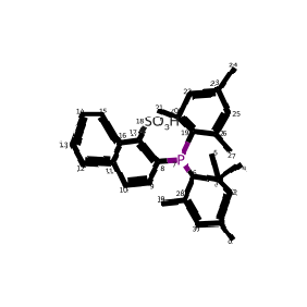 CC1=CC(C)(C)C(P(c2ccc3ccccc3c2S(=O)(=O)O)c2c(C)cc(C)cc2C)C(C)=C1